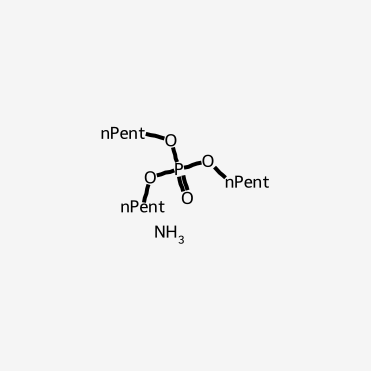 CCCCCOP(=O)(OCCCCC)OCCCCC.N